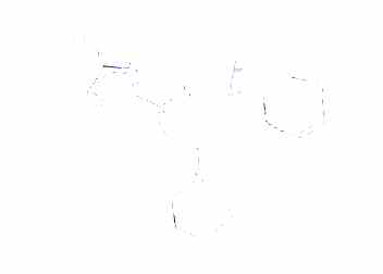 Cc1csc(-c2cc(N3CCOCC3)cc(NC3CC=CCC3)n2)n1